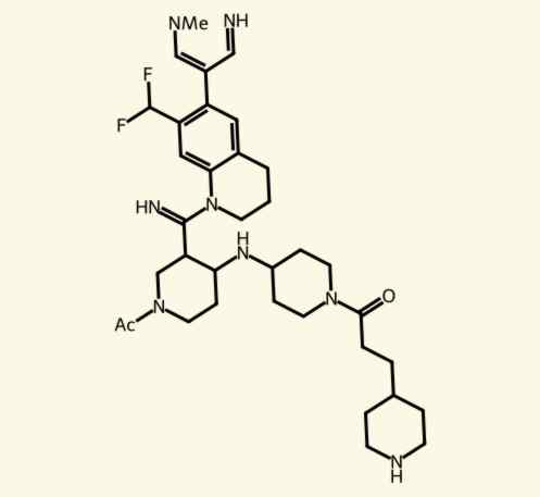 CN/C=C(\C=N)c1cc2c(cc1C(F)F)N(C(=N)C1CN(C(C)=O)CCC1NC1CCN(C(=O)CCC3CCNCC3)CC1)CCC2